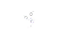 CC(C)c1ccc(Oc2nc3c(c(=O)n(CCCO)c(=O)n3C)n2Cc2ccc(Cl)cn2)cc1